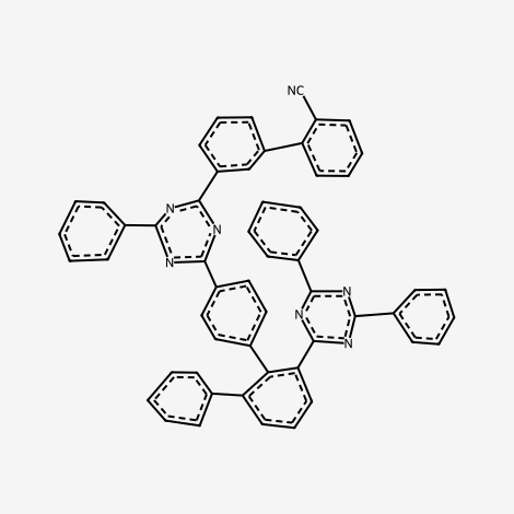 N#Cc1ccccc1-c1cccc(-c2nc(-c3ccccc3)nc(-c3ccc(-c4c(-c5ccccc5)cccc4-c4nc(-c5ccccc5)nc(-c5ccccc5)n4)cc3)n2)c1